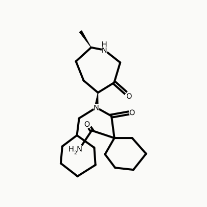 C[C@@H]1CC[C@H](N(CC2CCCCC2)C(=O)C2(C(N)=O)CCCCC2)C(=O)CN1